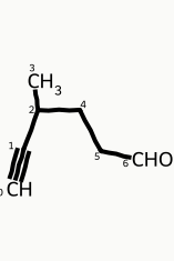 C#CC(C)CC[C]=O